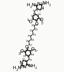 COc1cc(Cc2cnc(N)nc2N)cc(OC)c1OCCCCCCCCOc1c(OC)cc(Cc2cnc(N)nc2N)cc1OC